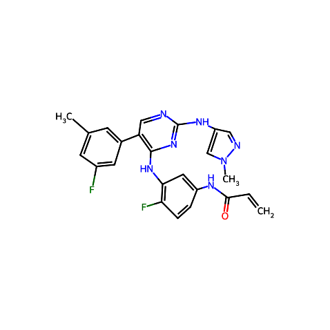 C=CC(=O)Nc1ccc(F)c(Nc2nc(Nc3cnn(C)c3)ncc2-c2cc(C)cc(F)c2)c1